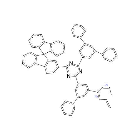 C=C/C=C(\C=C/C)c1cc(-c2ccccc2)cc(-c2nc(-c3cc(-c4ccccc4)cc(-c4ccccc4)c3)nc(-c3ccc4c(c3)C3(c5ccccc5-c5ccccc53)c3ccccc3-4)n2)c1